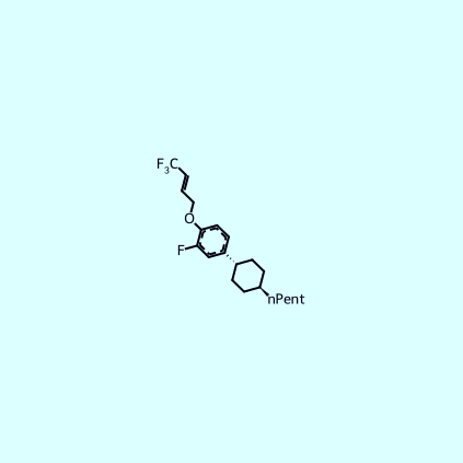 CCCCC[C@H]1CC[C@H](c2ccc(OCC=CC(F)(F)F)c(F)c2)CC1